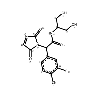 N#Cc1ccc(C(C(=O)NC(CO)CO)N2C(=O)C=NC2=O)cc1F